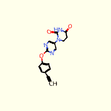 C#Cc1ccc(Oc2ncc(N3CCC(=O)NC3=O)cn2)cc1